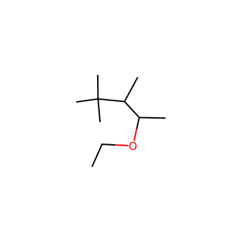 CCOC(C)C(C)C(C)(C)C